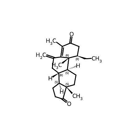 C=C1C[C@@H]2[C@H](CC[C@]3(C)C(=O)CC[C@@H]23)[C@]2(C)C1=C(C)C(=O)C[C@H]2CC